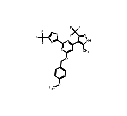 COc1ccc(COc2cc(-c3c(C(F)(F)F)n[nH]c3C)nc(-c3nc(C(F)(F)F)cs3)n2)cc1